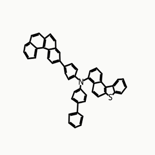 c1ccc(-c2ccc(N(c3ccc(-c4ccc5c(ccc6ccc7ccccc7c65)c4)cc3)c3cccc4c3ccc3sc5ccccc5c34)cc2)cc1